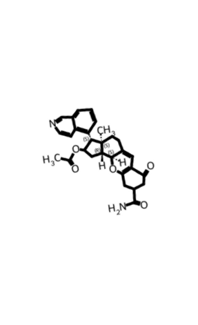 CC(=O)OC1C[C@H]2[C@@H]3OC4=C(C=C3CC[C@]2(C)[C@H]1c1cccc2cnccc12)C(=O)CC(C(N)=O)C4